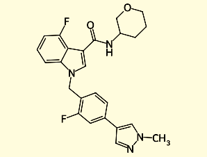 Cn1cc(-c2ccc(Cn3cc(C(=O)NC4CCCOC4)c4c(F)cccc43)c(F)c2)cn1